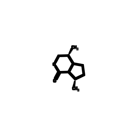 C[C@H]1COC(=O)C2C1CC[C@@H]2C